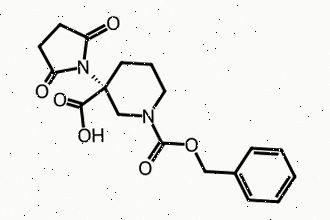 O=C(OCc1ccccc1)N1CCC[C@@](C(=O)O)(N2C(=O)CCC2=O)C1